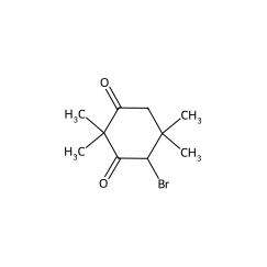 CC1(C)C(=O)CC(C)(C)C(Br)C1=O